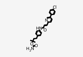 CC(C)(CCc1ccc(NC(=O)/C=C/c2ccc(-c3ccc(Cl)cc3)cn2)cc1)OC(N)=O